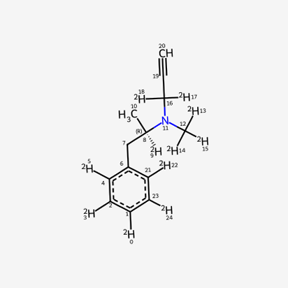 [2H]c1c([2H])c([2H])c(C[C@@]([2H])(C)N(C([2H])([2H])[2H])C([2H])([2H])C#C)c([2H])c1[2H]